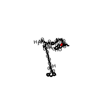 CCCC1O[C@@H]2C[C@H]3[C@@H]4C[C@H](F)C5=CC(=O)C=CC5[C@@]4(F)[C@@H](O)C[C@]3(C)[C@]2(C(=O)COC(=O)N(C)CCN(C)C(=O)OCc2ccc(NC(=O)[C@H](CCCNC(N)=O)NC(=O)[C@@H](NC(=O)CCOCCOCCOCCOCCNC(=O)CCC(=O)N3Cc4ccccc4C#Cc4ccccc43)C(C)C)cc2)O1